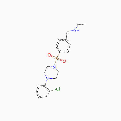 CCNCc1ccc(S(=O)(=O)N2CCN(c3ccccc3Cl)CC2)cc1